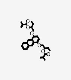 C=C(C)C(=O)OC(CC)COc1ccc(OCC(CC)OC(=O)C(=C)C)c2cc3ccccc3cc12